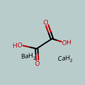 O=C(O)C(=O)O.[BaH2].[CaH2]